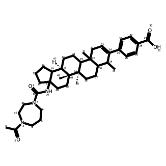 CC(=O)N1CCCN(C(=O)NC23CCCC2[C@H]2CCC4C5(C)CC=C(c6ccc(C(=O)O)cc6)C(C)C5CC[C@@]4(C)[C@]2(C)CC3)CC1